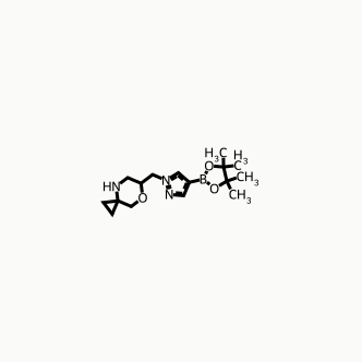 CC1(C)OB(c2cnn(CC3CNC4(CC4)CO3)c2)OC1(C)C